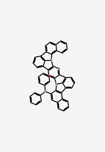 c1ccc(N(c2ccccc2)c2cc3ccccc3c3c4cccc5c6nc7c(nc6n(c23)c54)c2cccc3c4ccc5ccccc5c4n7c32)cc1